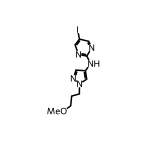 COCCCn1cc(Nc2ncc(I)cn2)cn1